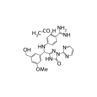 CC(=O)O.COc1cc(CO)cc(C(Nc2ccc(C(=N)N)cc2)c2nn(-c3ncccn3)c(=O)[nH]2)c1